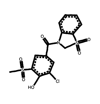 CS(=O)(=O)c1cc(C(=O)N2CS(=O)(=O)c3ccccc32)cc(Cl)c1O